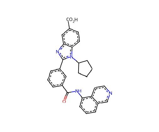 O=C(O)c1ccc2c(c1)nc(-c1cccc(C(=O)Nc3cccc4cnccc34)c1)n2C1CCCC1